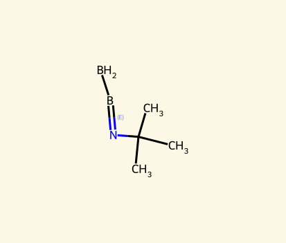 B/B=N/C(C)(C)C